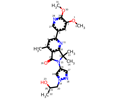 COc1cc(-c2cc(C)c3c(n2)C(C)(C)N(c2cnn(C[C@@H](C)O)c2)C3=O)cnc1OC